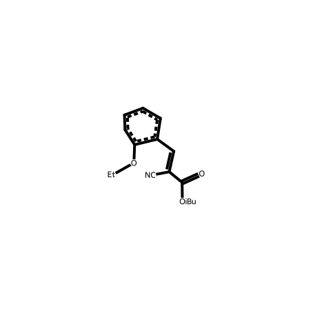 CCOc1ccccc1/C=C(\C#N)C(=O)OCC(C)C